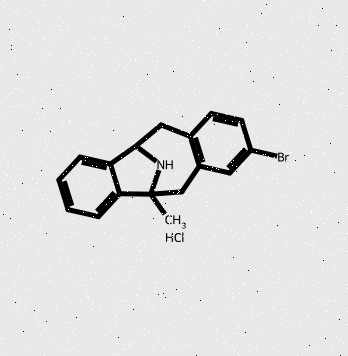 CC12Cc3cc(Br)ccc3CC(N1)c1ccccc12.Cl